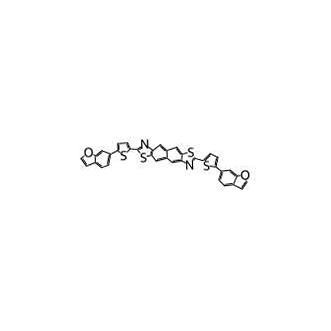 c1cc2ccc(-c3ccc(-c4nc5cc6cc7sc(-c8ccc(-c9ccc%10ccoc%10c9)s8)nc7cc6cc5s4)s3)cc2o1